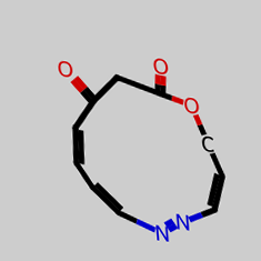 O=C1C=CC=CN=NC=CCOC(=O)C1